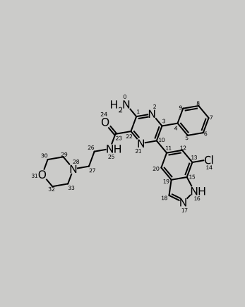 Nc1nc(-c2ccccc2)c(-c2cc(Cl)c3[nH]ncc3c2)nc1C(=O)NCCN1CCOCC1